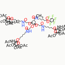 CC(=O)N[C@H]1[C@H](OCCCCCCNC(=O)CCOC2[C@H](OCCC(=O)NCCCCCCO[C@@H]3O[C@H](COC(C)=O)[C@H](OC(C)=O)[C@H](OC(C)=O)[C@H]3NC(C)=O)CC(C(=O)N(C)CCCCCC(=O)Oc3c(F)c(F)c(F)c(F)c3F)C[C@H]2OCCC(=O)NCCCCCCO[C@@H]2O[C@H](COC(C)=O)[C@H](OC(C)=O)[C@H](OC(C)=O)[C@H]2NC(C)=O)O[C@H](COC(C)=O)[C@H](OC(C)=O)[C@@H]1OC(C)=O